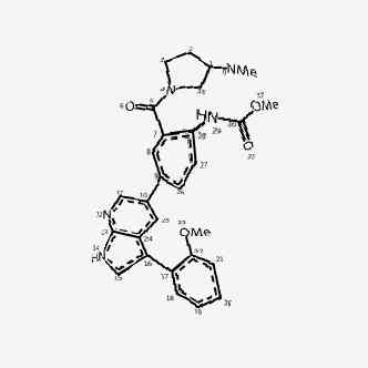 CNC1CCN(C(=O)c2cc(-c3cnc4[nH]cc(-c5ccccc5OC)c4c3)ccc2NC(=O)OC)C1